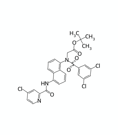 CC(C)(C)OC(=O)CN(c1cccc2c(NC(=O)c3cc(Cl)ccn3)cccc12)S(=O)(=O)c1cc(Cl)cc(Cl)c1